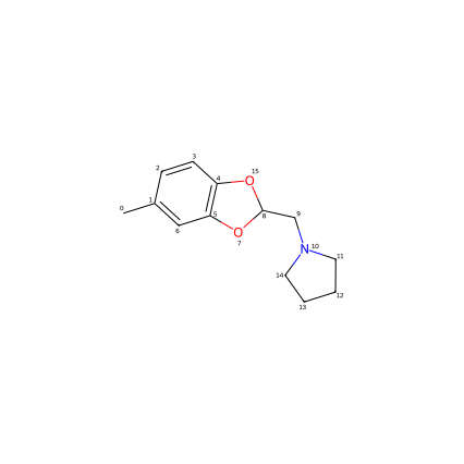 Cc1ccc2c(c1)OC(CN1CCCC1)O2